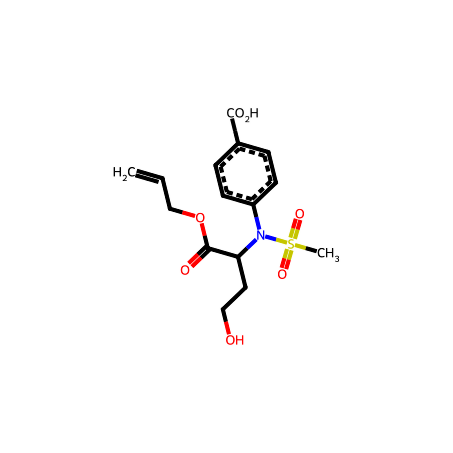 C=CCOC(=O)C(CCO)N(c1ccc(C(=O)O)cc1)S(C)(=O)=O